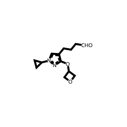 O=CCCCc1cn(C2CC2)nc1OC1COC1